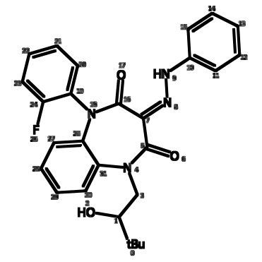 CC(C)(C)C(O)Cn1c(=O)/c(=N/Nc2ccccc2)c(=O)n(-c2ccccc2F)c2ccccc21